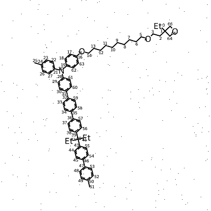 CCC1(CCOCCCCCCCCCCOc2ccc(N(c3ccc(C)cc3)c3ccc(-c4ccc(-c5ccc(C(CC)(CC)c6ccc(-c7ccc(C)cc7)cc6)cc5)cc4)cc3)cc2)COC1